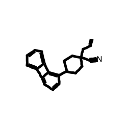 C=CCC1(C#N)CCC(c2cccc3c2-c2ccccc2-3)CC1